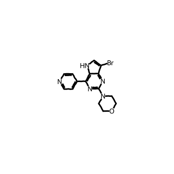 Brc1c[nH]c2c(-c3ccncc3)nc(N3CCOCC3)nc12